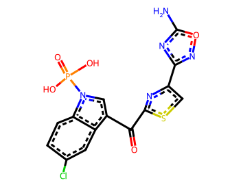 Nc1nc(-c2csc(C(=O)c3cn(P(=O)(O)O)c4ccc(Cl)cc34)n2)no1